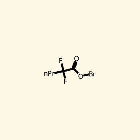 CCCC(F)(F)C(=O)OBr